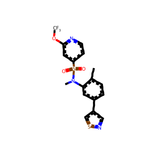 Cc1ccc(-c2cnsc2)cc1N(C)S(=O)(=O)c1ccnc(OC(F)(F)F)c1